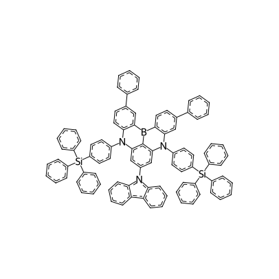 c1ccc(-c2ccc3c(c2)B2c4ccc(-c5ccccc5)cc4N(c4ccc([Si](c5ccccc5)(c5ccccc5)c5ccccc5)cc4)c4cc(-n5c6ccccc6c6ccccc65)cc(c42)N3c2ccc([Si](c3ccccc3)(c3ccccc3)c3ccccc3)cc2)cc1